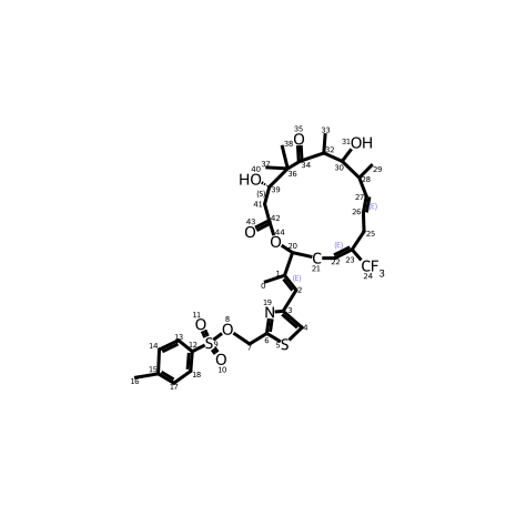 C/C(=C\c1csc(COS(=O)(=O)c2ccc(C)cc2)n1)C1C/C=C(/C(F)(F)F)C/C=C/C(C)C(O)C(C)C(=O)C(C)(C)[C@@H](O)CC(=O)O1